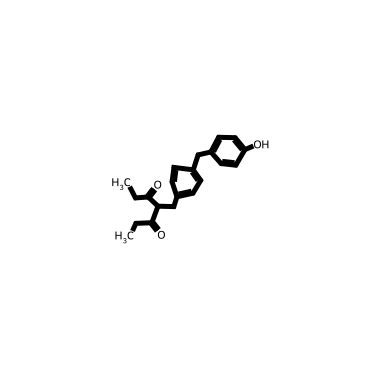 CCC(=O)C(Cc1ccc(Cc2ccc(O)cc2)cc1)C(=O)CC